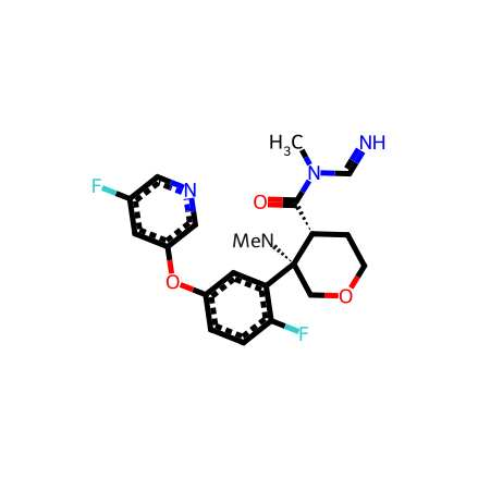 CN[C@@]1(c2cc(Oc3cncc(F)c3)ccc2F)COCC[C@H]1C(=O)N(C)C=N